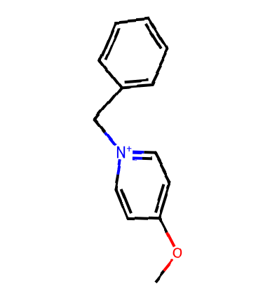 COc1cc[n+](Cc2ccccc2)cc1